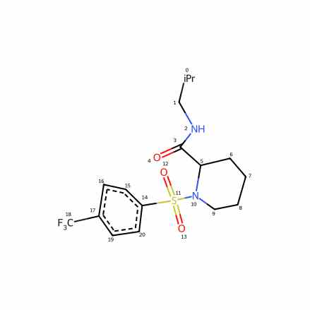 CC(C)CNC(=O)C1CCCCN1S(=O)(=O)c1ccc(C(F)(F)F)cc1